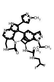 CC(C)n1ncc2cc(-c3c(-c4cnn(C)c4)[nH]c4ncc5c(c34)N([C@@H]3CC[C@H]3NC(=O)NCC(F)F)C(=O)NC5)ccc21